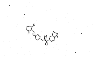 O=C(NCc1ccc(OCc2c(F)cccc2F)cc1)c1ccc2ncccc2c1